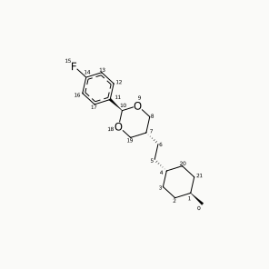 C[C@H]1CC[C@H](CC[C@H]2CO[C@H](c3ccc(F)cc3)OC2)CC1